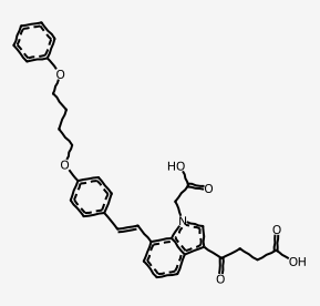 O=C(O)CCC(=O)c1cn(CC(=O)O)c2c(C=Cc3ccc(OCCCCOc4ccccc4)cc3)cccc12